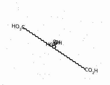 O=C(O)CCCCCCCCCCCCCCCCCCCCCC(CCCCCCCCCCCCCCCCCCCCCC(=O)O)CC(CO)(CO)CO